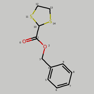 O=C(OCc1ccccc1)C1SCCS1